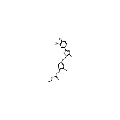 CCOC(=O)COc1ccc(SCc2sc(-c3ccc(Cl)c(Cl)c3)nc2C)cc1C